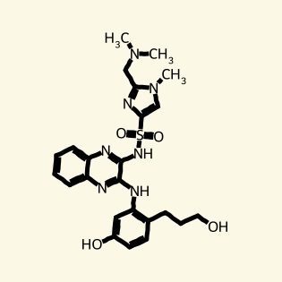 CN(C)Cc1nc(S(=O)(=O)Nc2nc3ccccc3nc2Nc2cc(O)ccc2CCCO)cn1C